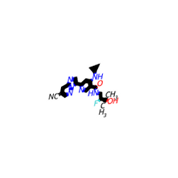 CC(C)(O)C(F)CNC(=O)c1cnc(-c2cnc3cc(C#N)cnn23)cc1NC1CC1